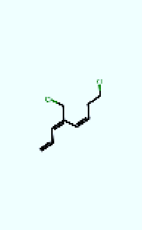 C=C/C=C(\C=C/CCCl)CCl